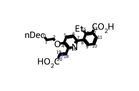 CCCCCCCCCCCCOc1ccc(-c2cccc(C(=O)O)c2CC)nc1/C=C/C(=O)O